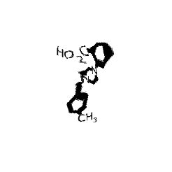 Cc1ccc(CN2CCN(c3ccccc3C(=O)O)CC2)cc1